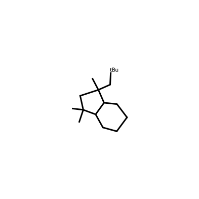 CC(C)(C)CC1(C)CC(C)(C)C2CCCCC21